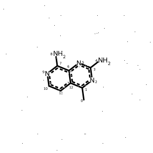 Cc1nc(N)nc2c(N)nccc12